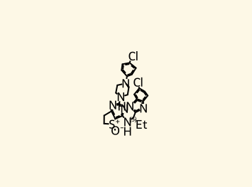 CC[C@H](Nc1nc(N2CCN(c3ccc(Cl)cc3)CC2)nc2c1[S+]([O-])CC2)c1nc2ccc(Cl)cc2[nH]1